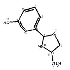 O=C(O)[C@@H]1CSC(c2cccc(O)c2)N1